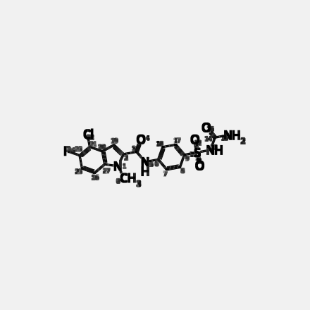 Cn1c(C(=O)Nc2ccc(S(=O)(=O)NC(N)=O)cc2)cc2c(Cl)c(F)ccc21